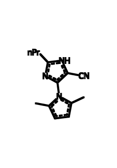 CCCc1nc(-n2c(C)ccc2C)c(C#N)[nH]1